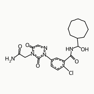 NC(=O)Cn1c(=O)cnn(-c2ccc(Cl)c(C(=O)NC(O)C3CCCCCCC3)c2)c1=O